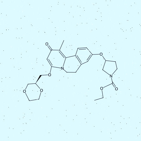 CCOC(=O)N1CCC(Oc2ccc3c(c2)CCn2c(OC[C@@H]4COCCO4)cc(=O)c(C)c2-3)C1